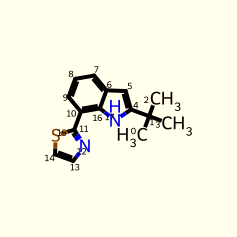 CC(C)(C)c1cc2cccc(-c3nccs3)c2[nH]1